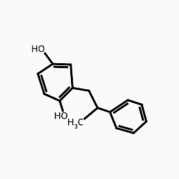 CC(Cc1cc(O)ccc1O)c1ccccc1